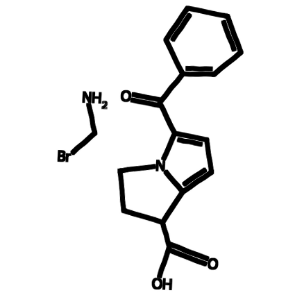 NCBr.O=C(c1ccccc1)c1ccc2n1CCC2C(=O)O